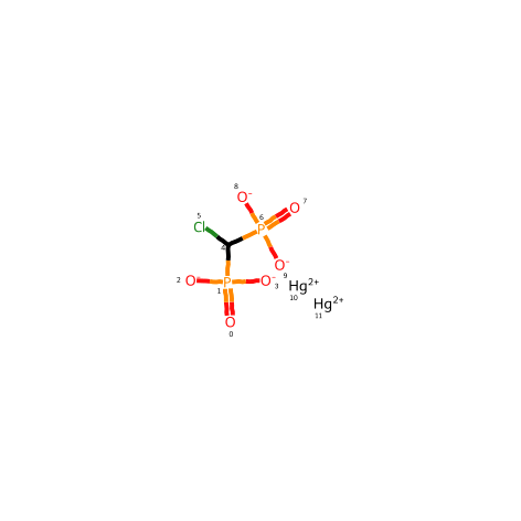 O=P([O-])([O-])C(Cl)P(=O)([O-])[O-].[Hg+2].[Hg+2]